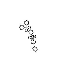 O=S(=O)(c1ccc2c(c1)OC(c1ccccc1)(c1ccccc1)O2)N1CC=C(c2ccccc2)CC1